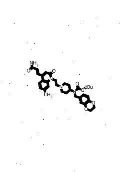 Cc1ccc2c(/C=C/C(N)=O)cc(=O)n(CCN3CCC(N(Cc4ccc5c(c4)OCCO5)C(=O)OC(C)(C)C)CC3)c2c1